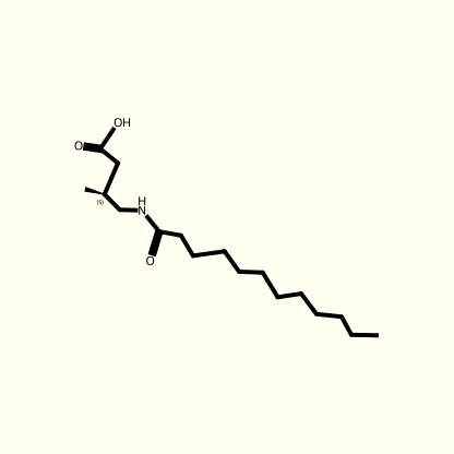 CCCCCCCCCCCC(=O)NC[C@@H](C)CC(=O)O